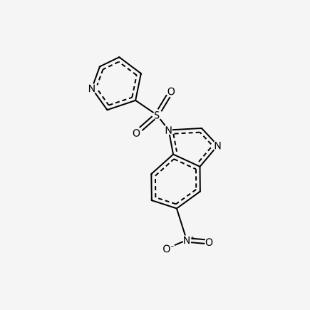 O=[N+]([O-])c1ccc2c(c1)ncn2S(=O)(=O)c1cccnc1